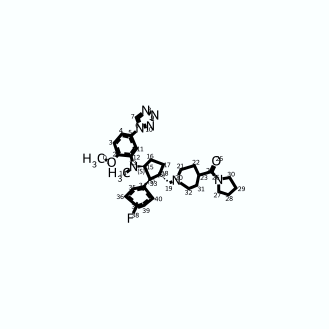 COc1ccc(-n2cnnn2)cc1N(C)[C@H]1CC[C@H](CN2CCC(C(=O)N3CCCC3)CC2)[C@H]1c1ccc(F)cc1